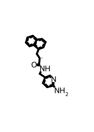 Nc1ccc(CNC(=O)[CH]Cc2cccc3ccccc23)cn1